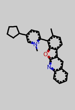 Cc1ccc2c(oc3nc4ccccc4cc32)c1-c1ccc(C2CCCC2)c[n+]1C